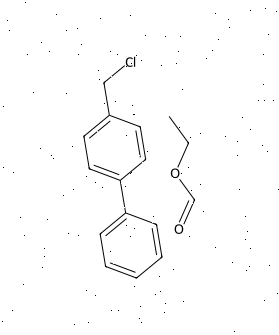 CCOC=O.ClCc1ccc(-c2ccccc2)cc1